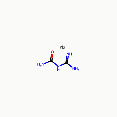 N=C(N)NC(N)=O.[Pb]